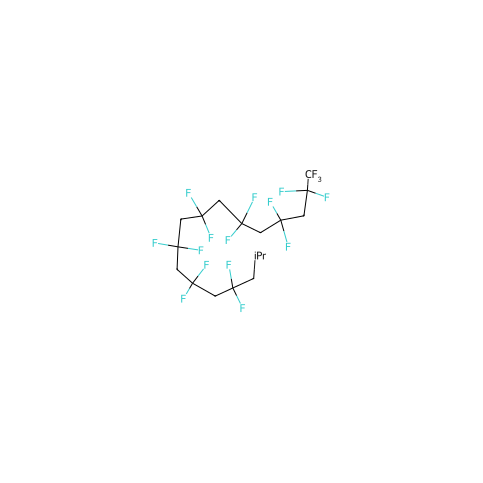 CC(C)CC(F)(F)CC(F)(F)CC(F)(F)CC(F)(F)CC(F)(F)CC(F)(F)CC(F)(F)C(F)(F)F